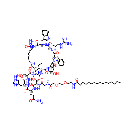 CCCCCCCCCCCCCCCC(=O)NCCOCCOCC(=O)NCC(=O)N[C@H](C(=O)N[C@H](CCC(N)=O)C(=O)N[C@@H](Cc1c[nH]cn1)C(=O)N[C@@H](CO)C(=O)N[C@@H](CCCC)C(=O)N[C@H]1CCC(=O)NCCCC[C@@H](C(N)=O)NC(=O)[C@H](Cc2c[nH]c3ccccc23)NC(=O)[C@H](CCCNC(=N)N)NC(=O)[C@@H](Cc2ccccc2)NC(=O)[C@@H]2C[C@@H](O)CN2C1=O)[C@@H](C)O